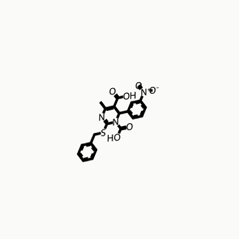 CC1=C(C(=O)O)C(c2cccc([N+](=O)[O-])c2)N(C(=O)O)C(SCc2ccccc2)=N1